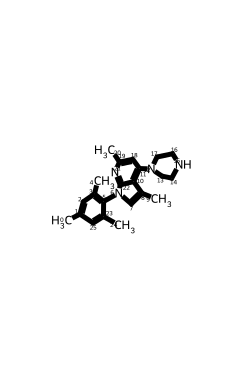 Cc1cc(C)c(-n2cc(C)c3c(N4CCNCC4)cc(C)nc32)c(C)c1